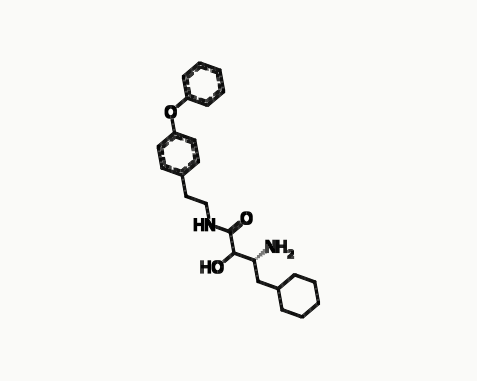 N[C@H](CC1CCCCC1)C(O)C(=O)NCCc1ccc(Oc2ccccc2)cc1